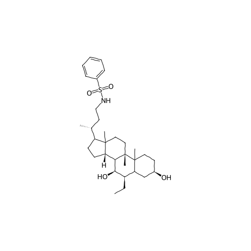 CC[C@@H]1C2C[C@H](O)CCC2(C)[C@@]2(C)CCC3(C)C([C@H](C)CCNS(=O)(=O)c4ccccc4)CC[C@H]3C2[C@@H]1O